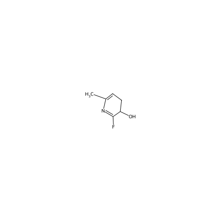 CC1=CCC(O)C(F)=N1